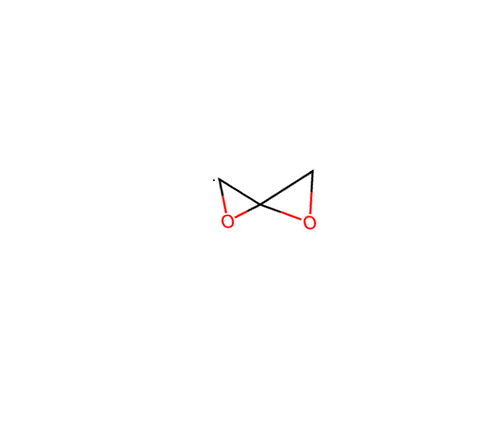 [CH]1OC12CO2